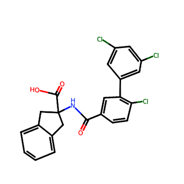 O=C(NC1(C(=O)O)Cc2ccccc2C1)c1ccc(Cl)c(-c2cc(Cl)cc(Cl)c2)c1